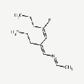 C/C=N/C=C(\C=C(\F)CCC)CCC